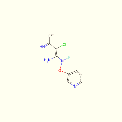 CCCC(=N)/C(Cl)=C(\N)N(F)Oc1cccnc1